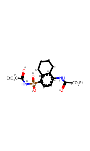 CCOC(=O)C(=O)Nc1ccc(S(=O)(=O)NC(=O)C(=O)OCC)c2c1CCCC2